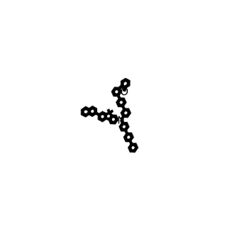 CC1(C)c2cc(-c3ccc4ccccc4c3)ccc2-c2ccc(N(c3ccc(-c4ccc(-c5ccccc5)cc4)cc3)c3cccc(-c4ccc(-c5cccc6c5oc5ccccc56)cc4)c3)cc21